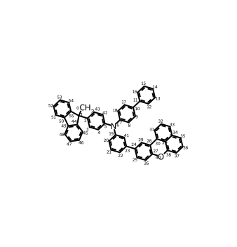 CC1(c2ccc(N(c3ccc(-c4ccccc4)cc3)c3cccc(-c4ccc5c(c4)-c4cccc6cccc(c46)O5)c3)cc2)c2ccccc2-c2ccccc21